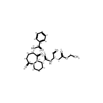 CCOC(=O)C[C@@H](C=O)NC(=O)[C@@H]1CCCN2C(=O)CC[C@H](NC(=O)c3ccccc3)C(=O)N12